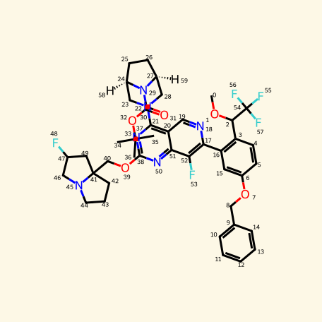 COC(c1ccc(OCc2ccccc2)cc1-c1ncc2c(N3C[C@H]4CC[C@@H](C3)N4C(=O)OC(C)(C)C)nc(OCC34CCCN3CC(F)C4)nc2c1F)C(F)(F)F